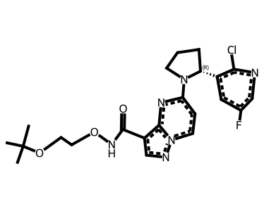 CC(C)(C)OCCONC(=O)c1cnn2ccc(N3CCC[C@@H]3c3cc(F)cnc3Cl)nc12